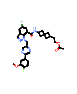 COc1cc(-c2cnc(Cn3ncc4cc(Cl)cc(C(=O)NC5CC6(CC(CCOC(C)=O)C6)C5)c43)cn2)ccc1F